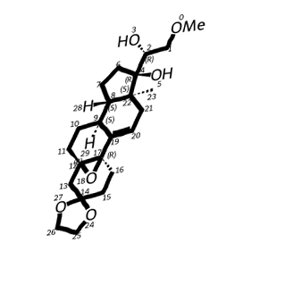 COC[C@@H](O)[C@@]1(O)CC[C@H]2[C@@H]3CC[C@@]45CC6(CC[C@@]4(O5)C3=CC[C@@]21C)OCCO6